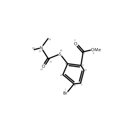 COC(=O)c1ccc(Br)cc1SC(=O)N(C)C